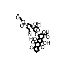 COCCOC(=O)N1CCN(C2C[C@H](O[C@H]3C[C@](O)(C(C)=O)Cc4c(O)c5c(c(O)c43)C(=O)c3c(OC)cccc3C5=O)O[C@@H](C)C2O)C(C#N)C1